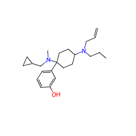 C=CCN(CCC)C1CCC(c2cccc(O)c2)(N(C)CC2CC2)CC1